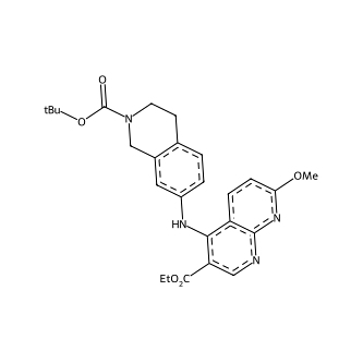 CCOC(=O)c1cnc2nc(OC)ccc2c1Nc1ccc2c(c1)CN(C(=O)OC(C)(C)C)CC2